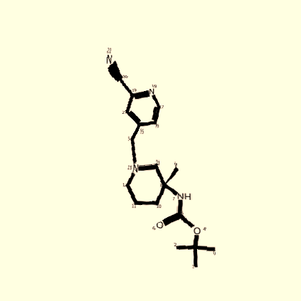 CC(C)(C)OC(=O)N[C@]1(C)CCCN(Cc2ccnc(C#N)c2)C1